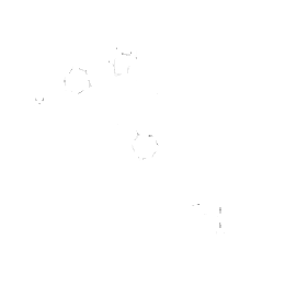 CCOC(=O)c1nnn(Cc2ccc(OC)cc2)c1O[C@H]1CC[C@H](c2ccc(OC[C@H]3CCC[C@H](COS(C)(=O)=O)C3)cc2)CC1